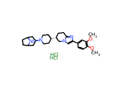 COc1ccc(-c2cn3c(n2)CC[C@@H](C2CCN(C4CC5CCC(C4)N5)CC2)C3)cc1OC.Cl.Cl